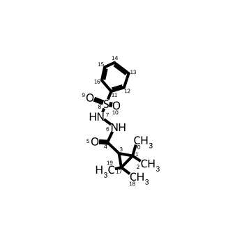 CC1(C)C(C(=O)NNS(=O)(=O)c2ccccc2)C1(C)C